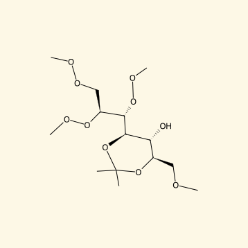 COC[C@H]1OC(C)(C)O[C@@H]([C@@H](OOC)[C@H](COOC)OOC)[C@@H]1O